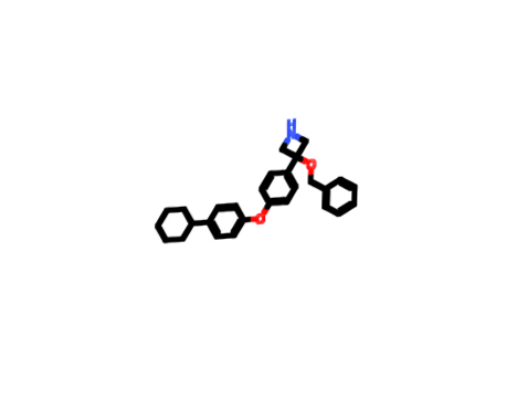 c1ccc(COC2(c3ccc(Oc4ccc(C5CCCCC5)cc4)cc3)CNC2)cc1